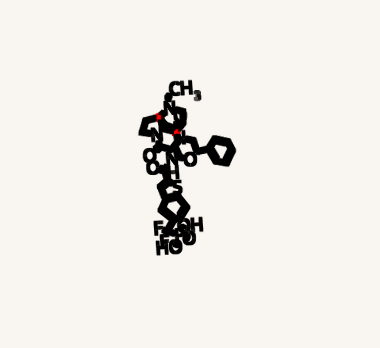 CCN1CCC(CC(NC(=O)c2cc3cc(C(F)(F)P(=O)(O)O)ccc3s2)C(=O)N2CCCC2C(=O)N2CCOC(c3ccccc3)C2)CC1